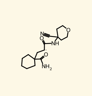 N#CC1(NC(=O)[CH]CC2(C(N)=O)CCCCC2)CCOCC1